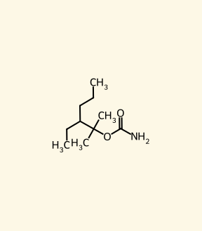 CCCC(CC)C(C)(C)OC(N)=O